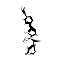 C#Cc1ccc(-c2cnc(N(C#N)C(=O)[C@H]3CCNC3)s2)cc1